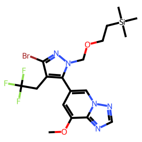 COc1cc(-c2c(CC(F)(F)F)c(Br)nn2COCC[Si](C)(C)C)cn2ncnc12